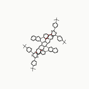 CC(C)(C)c1ccc(-c2nc(-c3ccc(-c4cc5ccccc5cc4-c4c5cc6ccccc6cc5c(-c5cc6ccccc6cc5-c5ccc(-c6nc(-c7ccc(C(C)(C)C)cc7)nc(-c7ccc(C(C)(C)C)cc7)n6)cc5)c5cc6ccccc6cc45)cc3)nc(-c3ccc(C(C)(C)C)cc3)n2)cc1